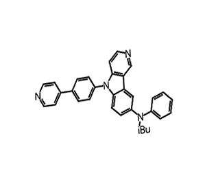 CCC(C)N(c1ccccc1)c1ccc2c(c1)c1cnccc1n2-c1ccc(-c2ccncc2)cc1